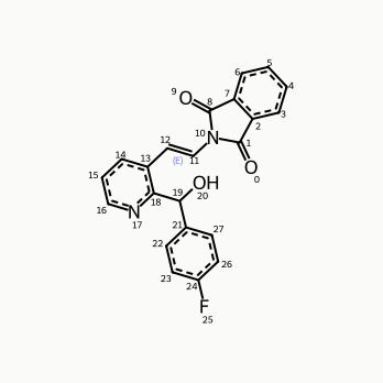 O=C1c2ccccc2C(=O)N1/C=C/c1cccnc1C(O)c1ccc(F)cc1